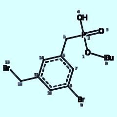 CCC(C)OP(=O)(O)Cc1cc(Br)cc(CBr)c1